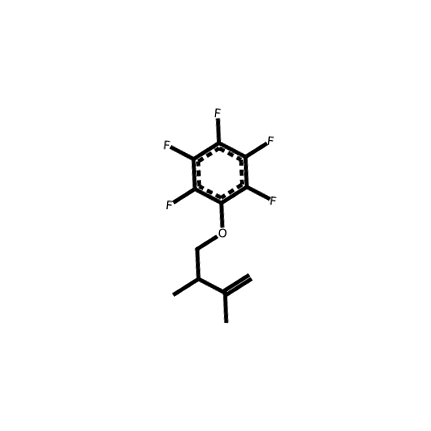 C=C(C)C(C)COc1c(F)c(F)c(F)c(F)c1F